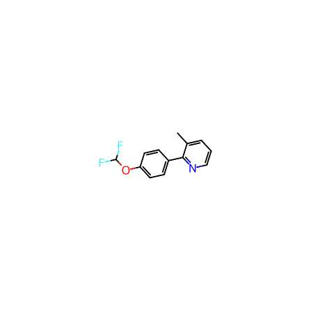 Cc1cccnc1-c1ccc(OC(F)F)cc1